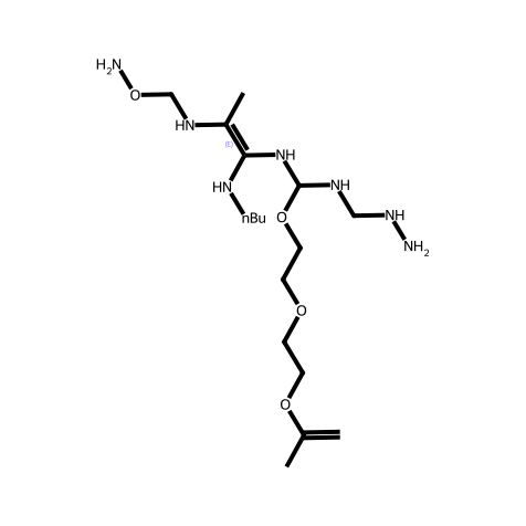 C=C(C)OCCOCCOC(NCNN)N/C(NCCCC)=C(\C)NCON